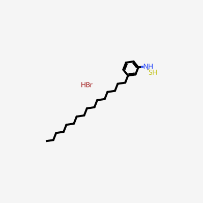 Br.CCCCCCCCCCCCCCCCc1cccc(NS)c1